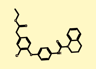 CCOC(=O)Cc1ccc(Oc2ccc(NC(=O)N3CCCc4ccccc43)cc2)c(Cl)c1